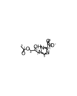 CC(=O)OCC(O)Cn1cnc([N+](=O)[O-])n1